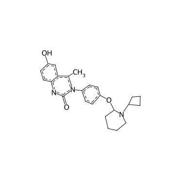 Cc1c2cc(O)ccc2nc(=O)n1-c1ccc(OC2CCCCN2C2CCC2)cc1